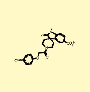 O=C(O)c1ccc2c(c1)C1(CCN(C(=O)COc3ccc(Cl)cc3)CC1)C(=O)N2